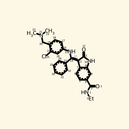 CCNC(=O)c1ccc2c(c1)NC(=O)/C2=C(\Nc1ccc(CN(C)C)c(Cl)c1)c1ccccc1